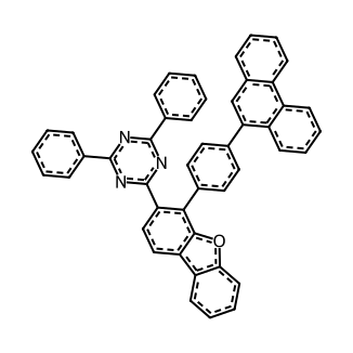 c1ccc(-c2nc(-c3ccccc3)nc(-c3ccc4c(oc5ccccc54)c3-c3ccc(-c4cc5ccccc5c5ccccc45)cc3)n2)cc1